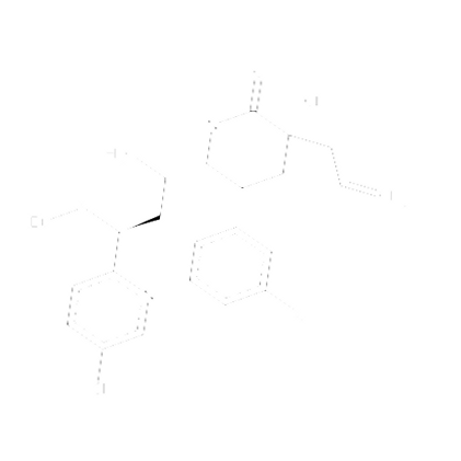 C=CC[C@@]1(C)C[C@H](c2cccc(Cl)c2)[C@H](C(C)C[C@H](SCC)c2ccc(Cl)cn2)NC1=O